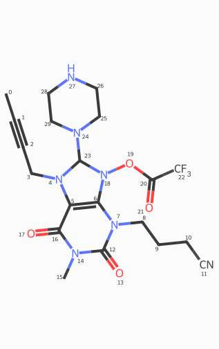 CC#CCN1c2c(n(CCCC#N)c(=O)n(C)c2=O)N(OC(=O)C(F)(F)F)C1N1CCNCC1